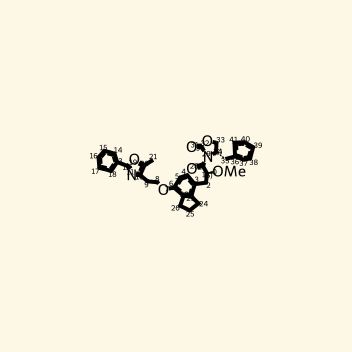 CO[C@@H](Cc1ccc(OCCc2nc(-c3ccccc3)oc2C)c2c1CCC2)C(=O)N1C(=O)OC[C@@H]1Cc1ccccc1